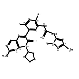 CNc1ncc2cc(-c3cc(NC(=O)Nc4cc(C(C)(C)C)nn4C)c(F)cc3C)c(=O)n(C3CCCC3)c2n1